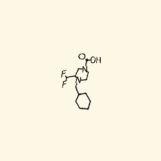 O=C(O)N1CCN(CC2CCCCC2)C(C(F)F)C1